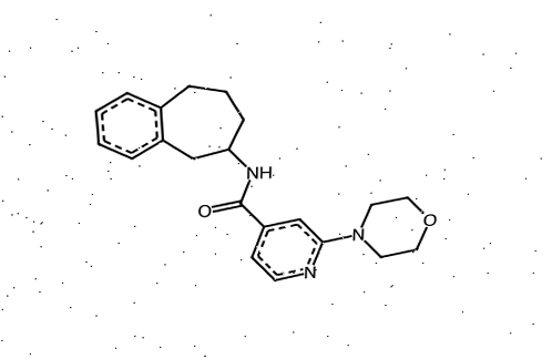 O=C(NC1CCCc2ccccc2C1)c1ccnc(N2CCOCC2)c1